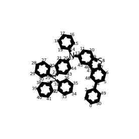 c1ccc(-c2ccc3sc4ccc(N(c5ccccc5)c5ccc(S(c6ccccc6)(c6ccccc6)c6ccccc6)cc5)cc4c3c2)cc1